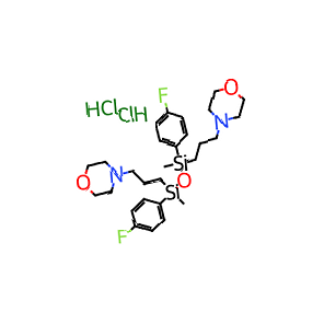 C[Si](CCCN1CCOCC1)(O[Si](C)(CCCN1CCOCC1)c1ccc(F)cc1)c1ccc(F)cc1.Cl.Cl